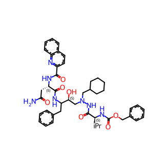 CC(C)[C@H](NC(=O)OCc1ccccc1)C(=O)NN(CC1CCCCC1)C[C@H](O)C(Cc1ccccc1)NC(=O)[C@H](CC(N)=O)NC(=O)c1ccc2ccccc2n1